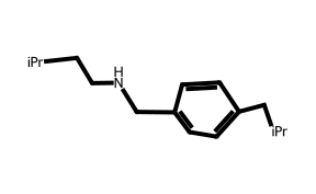 CC(C)CCNCc1ccc(CC(C)C)cc1